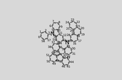 c1ccc(-n2c3ccccc3c3cc(N(c4ccc5ccc6ccccc6c5c4)c4cccc5c4-c4ccccc4C54c5ccccc5-c5ccccc54)ccc32)cc1